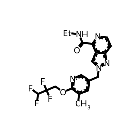 CCNC(=O)c1nccc2nn(Cc3cnc(OCC(F)(F)C(F)F)c(C)c3)cc12